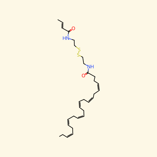 C/C=C/C(=O)NCCSSCCNC(=O)CC/C=C\C/C=C\C/C=C\C/C=C\C/C=C\C/C=C\CC